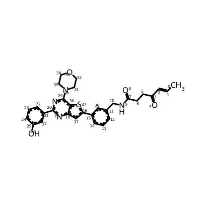 C/C=C/C(=O)CCC(=O)NCc1cccc(-c2cc3nc(-c4cccc(O)c4)nc(N4CCOCC4)c3s2)c1